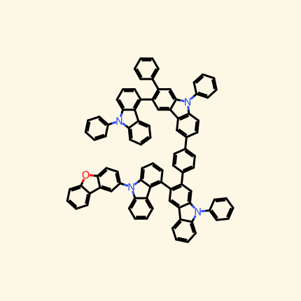 c1ccc(-c2cc3c(cc2-c2cccc4c2c2ccccc2n4-c2ccccc2)c2cc(-c4ccc(-c5cc6c(cc5-c5cccc7c5c5ccccc5n7-c5ccc7oc8ccccc8c7c5)c5ccccc5n6-c5ccccc5)cc4)ccc2n3-c2ccccc2)cc1